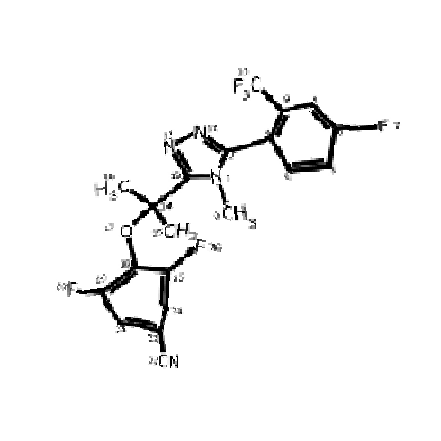 Cn1c(-c2ccc(F)cc2C(F)(F)F)nnc1C(C)(C)Oc1c(F)cc(C#N)cc1F